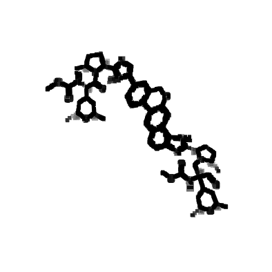 COC(=O)N[C@H](C(=O)N1[C@@H](C)CC[C@H]1c1ncc(-c2ccc3c(c2)COc2cc4c(ccc5nc([C@@H]6CC[C@H](C)N6C[C@](C=O)(NC(=O)OC)C6C[C@@H](C)O[C@H](C)C6)[nH]c54)cc2-3)[nH]1)C1C[C@@H](C)O[C@H](C)C1